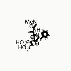 CNCC(=O)NC(C)C(=O)N[C@@H](Cc1ccccc1)C(=O)NC(CC(=O)O)C(=O)O